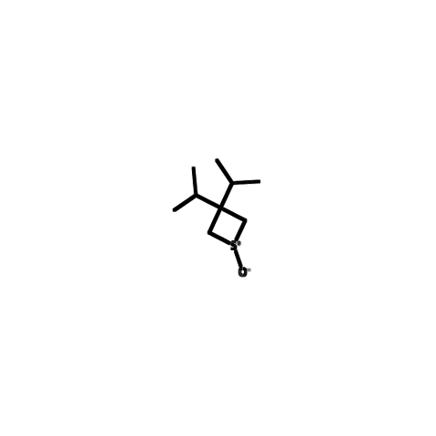 CC(C)C1(C(C)C)C[S+]([O-])C1